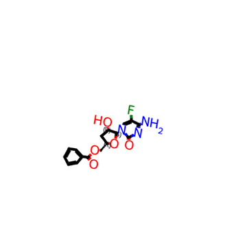 Nc1nc(=O)n([C@H]2O[C@@H](COC(=O)c3ccccc3)C[C@H]2O)cc1F